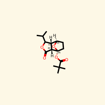 CC(C)C1OC(=O)[C@@H]2[C@H]1[C@H]1CC[C@]2(OC(=O)C(C)(C)C)O1